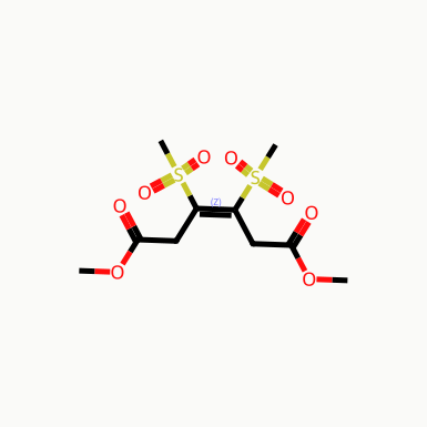 COC(=O)C/C(=C(\CC(=O)OC)S(C)(=O)=O)S(C)(=O)=O